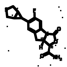 NC(=O)[C@@H]1OC(=O)N2c3cc(F)c(C4C5CSCC54)cc3C[C@@H]12